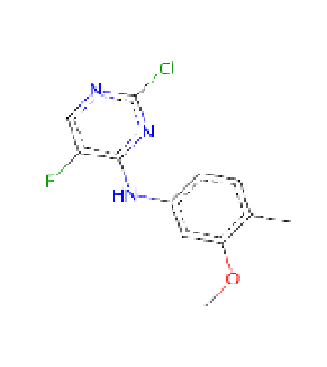 COc1cc(Nc2nc(Cl)ncc2F)ccc1C